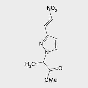 COC(=O)C(C)n1ccc(C=C[N+](=O)[O-])n1